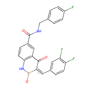 O=C(NCc1ccc(F)cc1)c1ccc2c(c1)C(=O)/C(=C\c1ccc(F)c(F)c1)[S+]([O-])N2